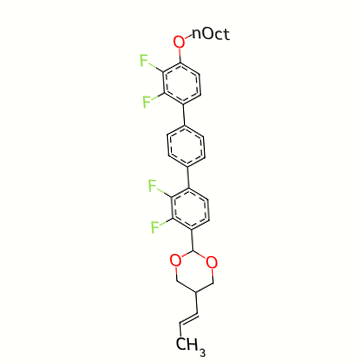 C/C=C/C1COC(c2ccc(-c3ccc(-c4ccc(OCCCCCCCC)c(F)c4F)cc3)c(F)c2F)OC1